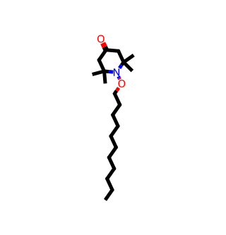 CCCCCCCCCCCON1C(C)(C)CC(=O)CC1(C)C